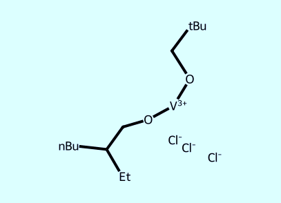 CCCCC(CC)C[O][V+3][O]CC(C)(C)C.[Cl-].[Cl-].[Cl-]